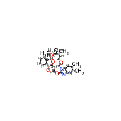 COC(O[C@@H]1COC[C@H](Oc2nc3nc(C)c(C)cc3n2COCC[Si](C)(C)C)C1)c1ccccc1